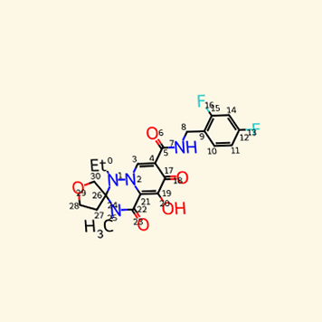 CCN1n2cc(C(=O)NCc3ccc(F)cc3F)c(=O)c(O)c2C(=O)N(C)C12CCOC2